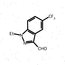 CCn1nc(C=O)c2cc(C(F)(F)F)ccc21